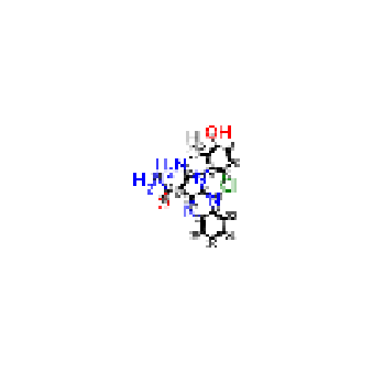 Cc1c(O)ccc(Cl)c1-n1c(N)c(C(N)=O)c2nc3ccccc3nc21